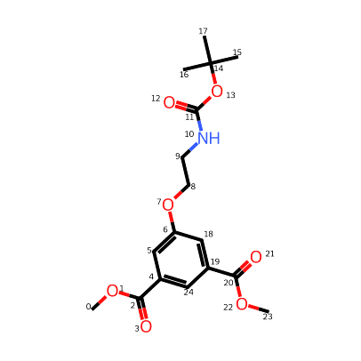 COC(=O)c1cc(OCCNC(=O)OC(C)(C)C)cc(C(=O)OC)c1